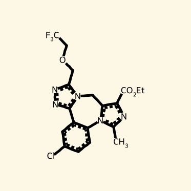 CCOC(=O)c1nc(C)n2c1Cn1c(COCC(F)(F)F)nnc1-c1cc(Cl)ccc1-2